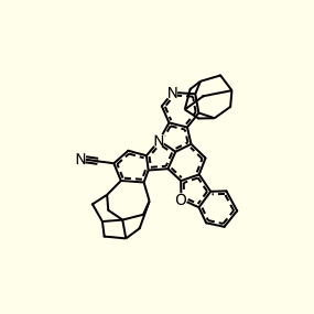 N#Cc1cc2c(c3c1C1CC4CC5CC3CC45C1)c1c3oc4ccccc4c3cc3c4c5c(ncc4n2c31)C1CC2CC(C1)CC5C2